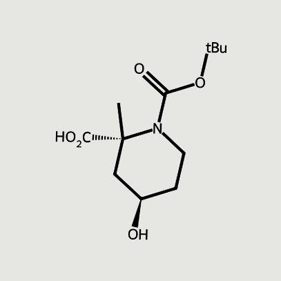 CC(C)(C)OC(=O)N1CC[C@@H](O)C[C@]1(C)C(=O)O